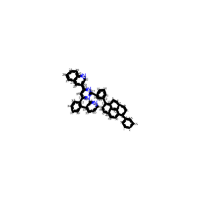 c1ccc(-c2ccc3ccc4c(-c5cccc(-c6nc(-c7cnc8ccccc8c7)cc(-c7ccccc7-c7cccnc7)n6)c5)ccc5ccc2c3c54)cc1